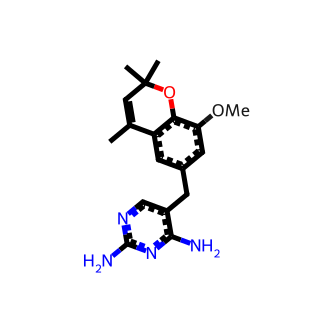 COc1cc(Cc2cnc(N)nc2N)cc2c1OC(C)(C)C=C2C